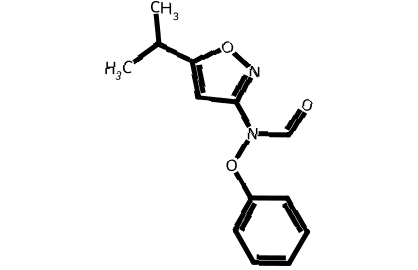 CC(C)c1cc(N(C=O)Oc2ccccc2)no1